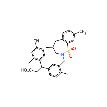 Cc1ccc(C(CC(=O)O)c2ccc(C#N)cc2C)cc1CN1CC(C)Cc2ccc(C(F)(F)F)cc2S1(=O)=O